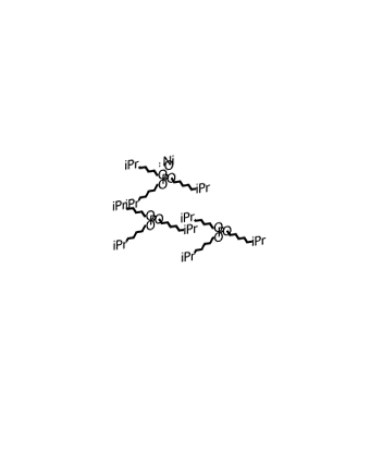 CC(C)CCCCCOP(OCCCCCC(C)C)OCCCCCC(C)C.CC(C)CCCCCOP(OCCCCCC(C)C)OCCCCCC(C)C.CC(C)CCCCCOP(OCCCCCC(C)C)OCCCCCC(C)C.[C]=O.[Ni]